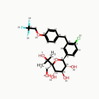 CC(C)(O)[C@@]1(CO)O[C@@H](c2ccc(Cl)c(Cc3ccc(OCC(F)(F)F)cc3)c2)[C@H](O)[C@@H](O)[C@@H]1O